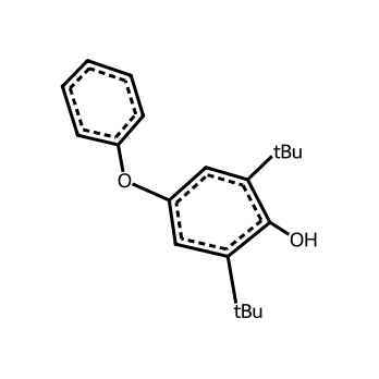 CC(C)(C)c1cc(Oc2ccccc2)cc(C(C)(C)C)c1O